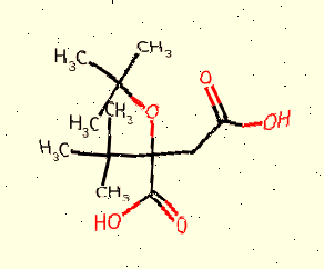 CC(C)(C)OC(CC(=O)O)(C(=O)O)C(C)(C)C